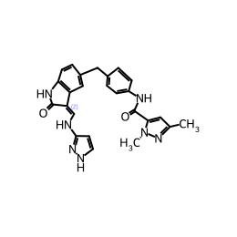 Cc1cc(C(=O)Nc2ccc(Cc3ccc4c(c3)/C(=C/Nc3cc[nH]n3)C(=O)N4)cc2)n(C)n1